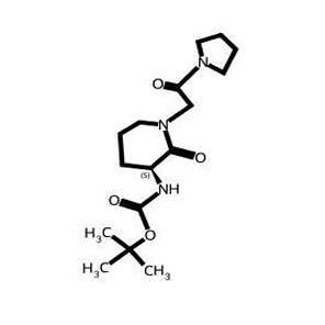 CC(C)(C)OC(=O)N[C@H]1CCCN(CC(=O)N2CCCC2)C1=O